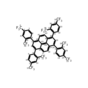 FC(F)(F)c1ccc(-c2cc(-c3ccc(C(F)(F)F)cc3C(F)(F)F)c3ccc4c(-c5ccc(C(F)(F)F)cc5C(F)(F)F)cc(-c5ccc(C(F)(F)F)cc5C(F)(F)F)c5ccc2c3c54)c(C(F)(F)F)c1